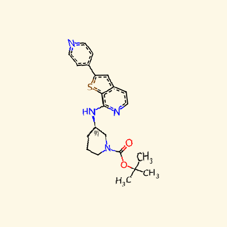 CC(C)(C)OC(=O)N1CCC[C@@H](Nc2nccc3cc(-c4ccncc4)sc23)C1